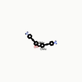 COc1cc(C#Cc2ccc(N(C)C)cc2)cc(OC)c1CC1=C(O)C=C(C#CC2=CC=C(N(C)C)CC2)CC1OC